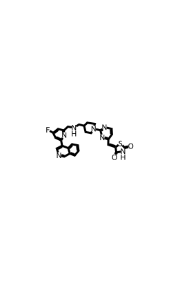 O=C1NC(=O)/C(=C/c2ccnc(N3CCC(CNCc4cc(F)cc(-c5cncc6ccccc56)n4)CC3)n2)S1